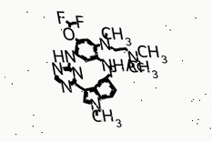 CC(=O)Nc1cc(Nc2ncnc(-c3cn(C)c4ccc(F)cc34)n2)c(OC(F)F)cc1N(C)CCN(C)C